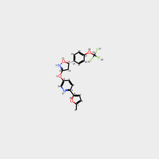 Cc1ccc(-c2ccc(OC3=NO[C@H](c4ccc(OC(F)(F)F)cc4)C3)cn2)o1